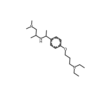 CCN(CC)CCCOc1ccc(C(C)NC(C)CN(C)C)cc1